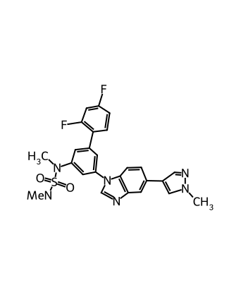 CNS(=O)(=O)N(C)c1cc(-c2ccc(F)cc2F)cc(-n2cnc3cc(-c4cnn(C)c4)ccc32)c1